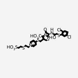 O=C(CSc1cc(Cl)ccc1Cl)N[C@H]1C(=O)N2C(C(=O)O)=C(CSc3cc[n+](CCSCCS(=O)(=O)O)cc3)CS[C@H]12